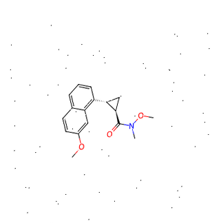 COc1ccc2cccc([C@@H]3C[C@H]3C(=O)N(C)OC)c2c1